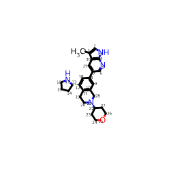 Cc1c[nH]c2ncc(-c3cc4c(c([C@@H]5CCCN5)c3)CCN(C3CCOCC3)C4)cc12